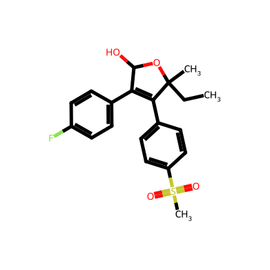 CCC1(C)OC(O)C(c2ccc(F)cc2)=C1c1ccc(S(C)(=O)=O)cc1